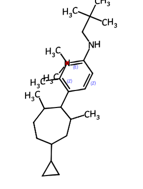 CC\C(C)=C(/C=C\C(=N/C)NCC(C)(C)C)C1C(C)CCC(C2CC2)CC1C